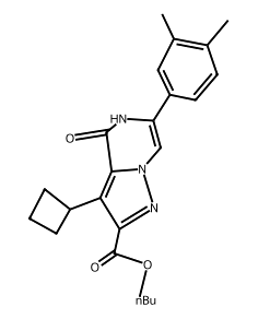 CCCCOC(=O)c1nn2cc(-c3ccc(C)c(C)c3)[nH]c(=O)c2c1C1CCC1